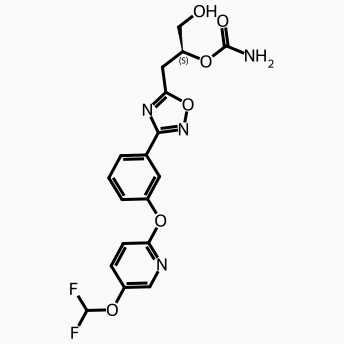 NC(=O)O[C@H](CO)Cc1nc(-c2cccc(Oc3ccc(OC(F)F)cn3)c2)no1